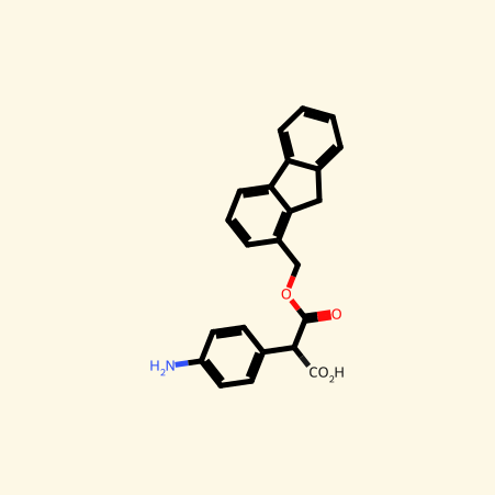 Nc1ccc(C(C(=O)O)C(=O)OCc2cccc3c2Cc2ccccc2-3)cc1